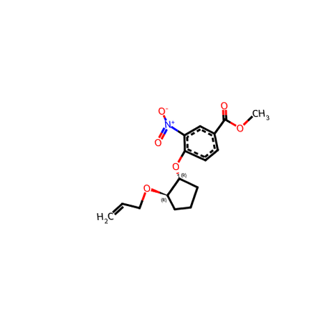 C=CCO[C@@H]1CCC[C@H]1Oc1ccc(C(=O)OC)cc1[N+](=O)[O-]